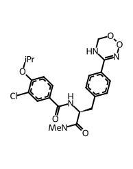 CNC(=O)[C@H](Cc1ccc(C2=NOOCN2)cc1)NC(=O)c1ccc(OC(C)C)c(Cl)c1